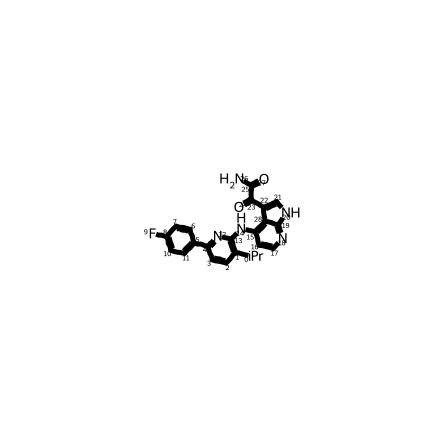 CC(C)c1ccc(-c2ccc(F)cc2)nc1Nc1ccnc2[nH]cc(C(=O)C(N)=O)c12